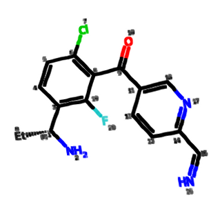 CC[C@@H](N)c1ccc(Cl)c(C(=O)c2ccc(C=N)nc2)c1F